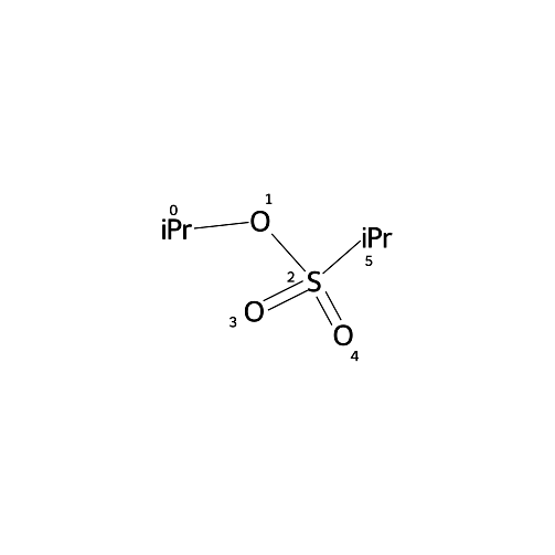 CC(C)OS(=O)(=O)C(C)C